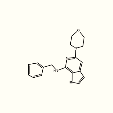 c1ccc(CNc2nc(N3CCOCC3)cc3cc[nH]c23)cc1